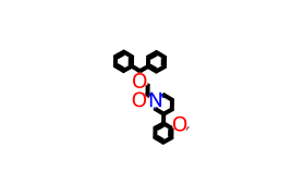 COc1ccccc1C1CCCN(C(=O)COC(c2ccccc2)c2ccccc2)C1